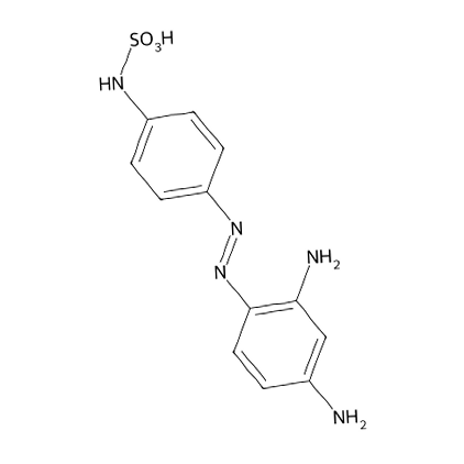 Nc1ccc(N=Nc2ccc(NS(=O)(=O)O)cc2)c(N)c1